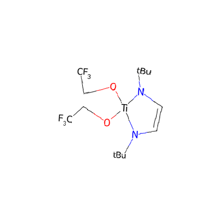 CC(C)(C)[N]1C=C[N](C(C)(C)C)[Ti]1([O]CC(F)(F)F)[O]CC(F)(F)F